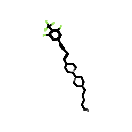 CCCCC[C@H]1CC[C@H]([C@H]2CC[C@H](C=CC#Cc3cc(F)c(C(F)(F)F)c(F)c3)CC2)CC1